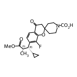 COC(=O)[C@@H](C)[C@H](c1ccc2c(c1F)OC1(CCN(C(=O)O)CC1)CC2=O)C1CC1